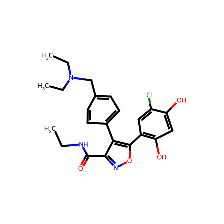 CCNC(=O)c1noc(-c2cc(Cl)c(O)cc2O)c1-c1ccc(CN(CC)CC)cc1